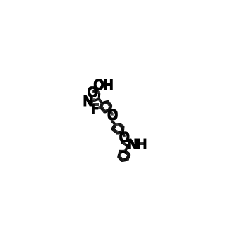 N#CC(CC(=O)O)c1ccc(OCc2ccc(OCC(=N)c3ccccc3)cc2)cc1F